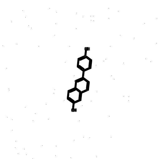 Oc1ccc(-c2[c]c3ccc(O)cc3cc2)cc1